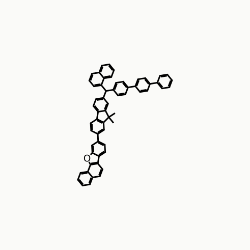 CC1(C)c2cc(-c3ccc4c(c3)oc3c5ccccc5ccc43)ccc2-c2ccc(C(c3ccc(-c4ccc(-c5ccccc5)cc4)cc3)c3cccc4ccccc34)cc21